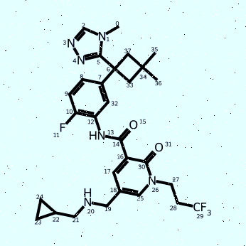 Cn1cnnc1C1(c2ccc(F)c(NC(=O)c3cc(CNCC4CC4)cn(CCC(F)(F)F)c3=O)c2)CC(C)(C)C1